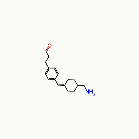 NCC1CCC(=Cc2ccc(CC[C]=O)cc2)CC1